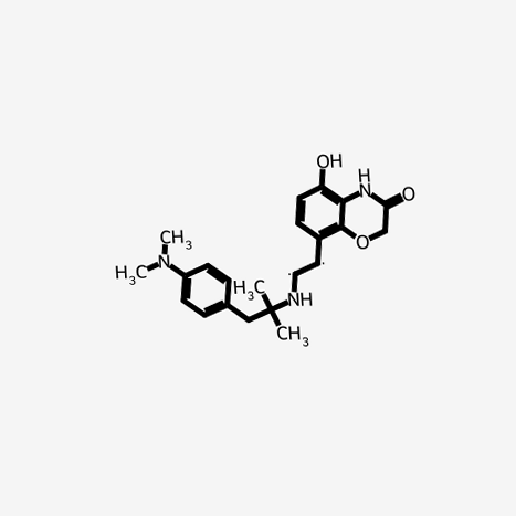 CN(C)c1ccc(CC(C)(C)N[CH][CH]c2ccc(O)c3c2OCC(=O)N3)cc1